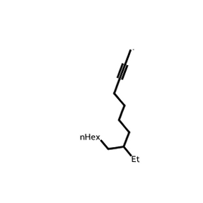 [CH2]C#CCCCCC(CC)CCCCCC[CH2]